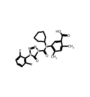 Cc1cc(C)c(N(C(=O)n2nnn(-c3c(F)cccc3F)c2=O)C2CCCCC2)cc1C(=O)O